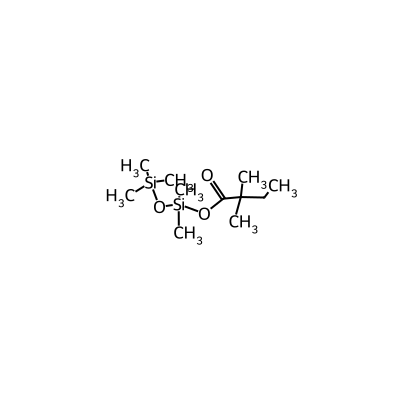 CCC(C)(C)C(=O)O[Si](C)(C)O[Si](C)(C)C